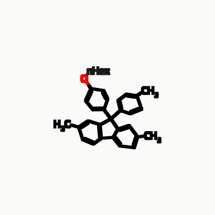 CCCCCCOc1ccc(C2(c3ccc(C)cc3)c3cc(C)ccc3-c3ccc(C)cc32)cc1